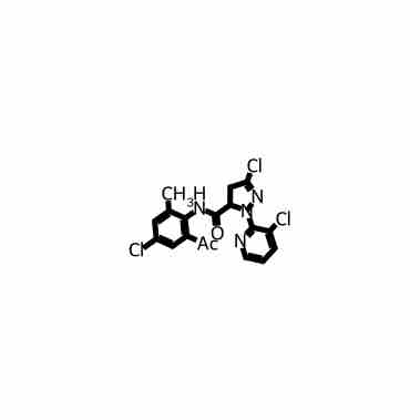 CC(=O)c1cc(Cl)cc(C)c1NC(=O)C1CC(Cl)=NN1c1ncccc1Cl